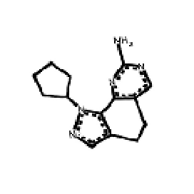 Nc1ncc2c(n1)-c1c(cnn1C1CCCC1)CC2